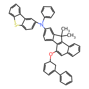 CC1(C)c2cc(N(c3ccccc3)c3ccc4sc5ccccc5c4c3)ccc2-c2c(OC3C=CC=C(c4ccccc4)C3)cc3ccccc3c21